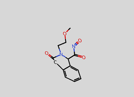 COCCN1C(=O)Cc2ccccc2C1C(=O)N=O